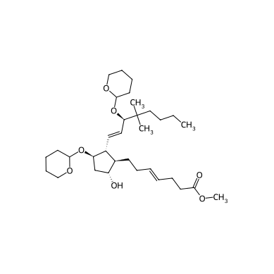 CCCCC(C)(C)[C@@H](C=C[C@@H]1[C@@H](CCC=CCCC(=O)OC)[C@H](O)C[C@H]1OC1CCCCO1)OC1CCCCO1